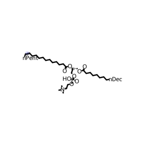 CCCCC/C=C\CCCCCCCCCCC(=O)O[C@H](COC(=O)CCCCCCCCCCCCCCCCC)COP(=O)(O)OCC[N+](C)(C)C